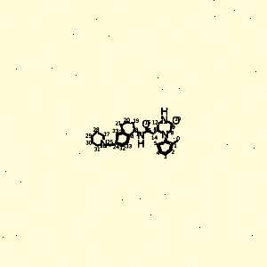 Cc1ccccc1N1CC(=O)NC[C@H]1CC(=O)NC1CCCc2cc(CN3CCCCC3)ccc21